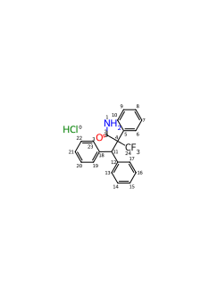 Cl.NC(=O)C(c1ccccc1)(C(c1ccccc1)c1ccccc1)C(F)(F)F